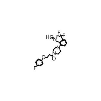 O=C(CCOc1ccc(F)cc1)N1CCN(c2cccc(C(F)(F)F)c2C=NO)CC1